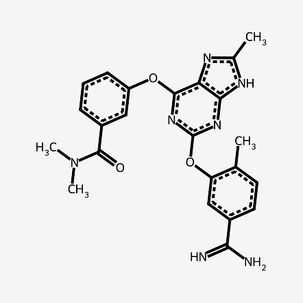 Cc1nc2c(Oc3cccc(C(=O)N(C)C)c3)nc(Oc3cc(C(=N)N)ccc3C)nc2[nH]1